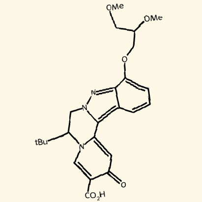 COCC(COc1cccc2c3n(nc12)CC(C(C)(C)C)n1cc(C(=O)O)c(=O)cc1-3)OC